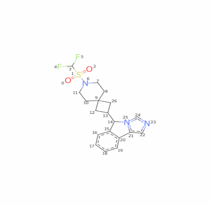 O=S(=O)(C(F)F)N1CCC2(CC1)CC(C1c3ccccc3-c3cncn31)C2